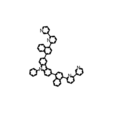 c1ccc(-n2c3ccc(-c4ccc(-c5cccc(-c6cccnc6)n5)c5ccccc45)cc3c3cc(-c4ccc(-c5cccc(-c6cccnc6)n5)c5ccccc45)ccc32)cc1